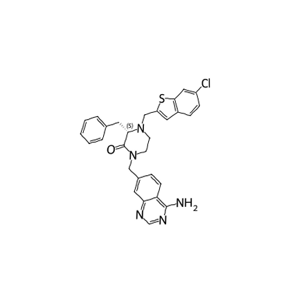 Nc1ncnc2cc(CN3CCN(Cc4cc5ccc(Cl)cc5s4)[C@@H](Cc4ccccc4)C3=O)ccc12